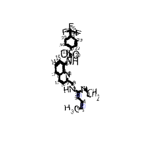 C=N/C(=C\C=C/C)NCc1ccc2cccc(NS(=O)(=O)c3ccc(C(F)(F)F)cc3)c2n1